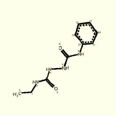 CCNC(=O)NNC(=O)Nc1ccccc1